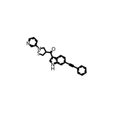 O=C(c1c[nH]c2cc(C#Cc3ccccc3)ccc12)C1CSN(c2cccnc2)C1